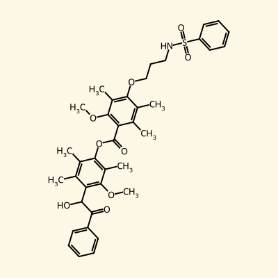 COc1c(C)c(OCCCNS(=O)(=O)c2ccccc2)c(C)c(C)c1C(=O)Oc1c(C)c(C)c(C(O)C(=O)c2ccccc2)c(OC)c1C